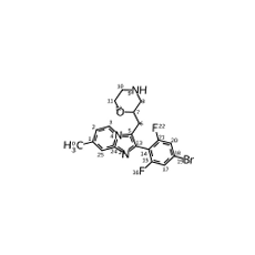 Cc1ccn2c(CC3CNCCO3)c(-c3c(F)cc(Br)cc3F)nc2c1